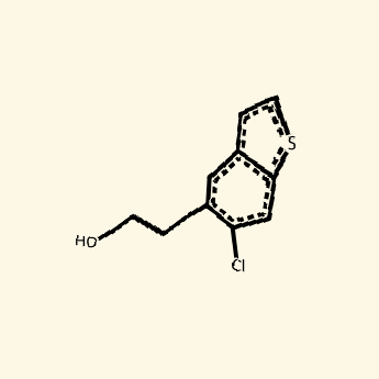 OCCc1cc2ccsc2cc1Cl